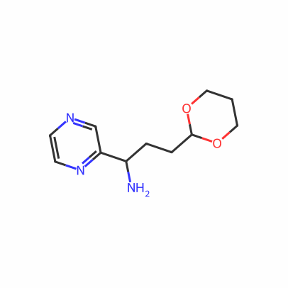 NC(CCC1OCCCO1)c1cnccn1